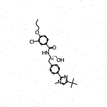 CCCOc1ccc(C(=O)N[C@H](CO)Cc2ccc(-c3nc(C(C)(C)C)cn3C)cc2)cc1Cl